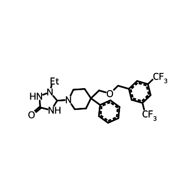 CCN1NC(=O)NC1N1CCC(COCc2cc(C(F)(F)F)cc(C(F)(F)F)c2)(c2ccccc2)CC1